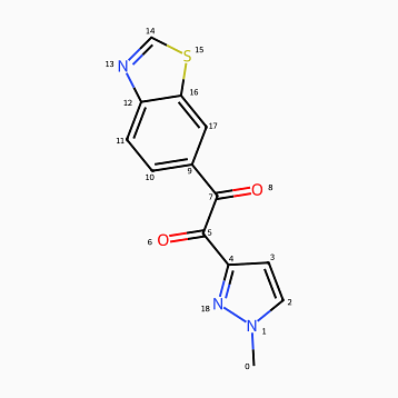 Cn1ccc(C(=O)C(=O)c2ccc3ncsc3c2)n1